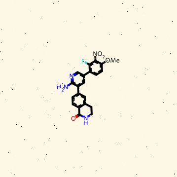 COc1ccc(-c2cnc(N)c(-c3ccc4c(c3)CCNC4=O)c2)c(F)c1[N+](=O)[O-]